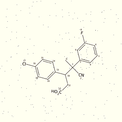 CC(C#N)(c1cccc(F)c1)C(CC(=O)O)c1ccc(Cl)cc1